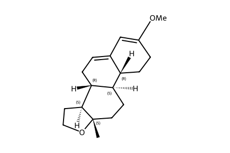 COC1=CC2=CC[C@@H]3[C@H](CC[C@]4(C)OCC[C@@H]34)[C@H]2CC1